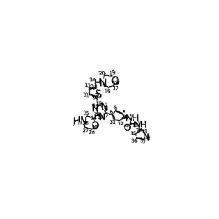 O=C(Nc1ccc(-c2nc(-c3ccc(CN4CCOCC4)s3)nc(C3CNCCO3)n2)cc1)Nc1cccnc1